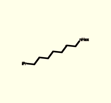 CCCCCCC[CH]CCCCCC(C)C